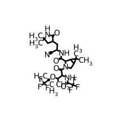 CC(OC(C)(C)C(F)(F)F)C(NC(=O)C(F)(F)F)C(=O)N1CC2C(C1C(=O)NC(C#N)CC1CC(C)(C)NC1=O)C2(C)C